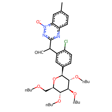 CCCCOC[C@H]1O[C@@H](c2ccc(Cl)c(C(C=O)c3nc4ccc(C)cc4[n+]([O-])n3)c2)[C@H](OCCCC)[C@@H](OCCCC)[C@@H]1OCCCC